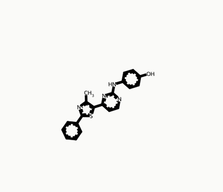 Cc1nc(-c2ccccc2)sc1-c1ccnc(Nc2ccc(O)cc2)n1